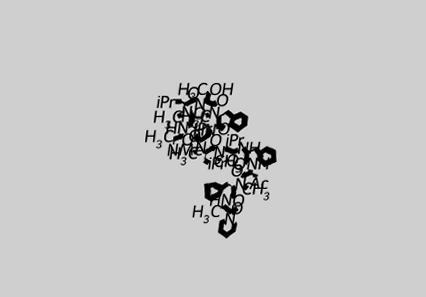 CN[C@H](C)C(=O)N[C@H](C(=O)N(C)[C@@H](CC(C)C)C(=O)N[C@H](C(=O)N(C)[C@@H](Cc1ccccc1)C(=O)NCC(=O)N(C)[C@@H](CC(C)C)C(=O)N(C)[C@H](C(=O)N[C@@H](Cc1ccccc1)C(=O)N[C@@H](CC(C)=O)C(=O)N(C)[C@@H](Cc1ccccc1)C(=O)N[C@@H](C)C(=O)N1CCCCC1)C(C)C)[C@@H](C)O)C(C)C